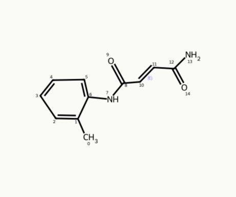 Cc1ccccc1NC(=O)/C=C/C(N)=O